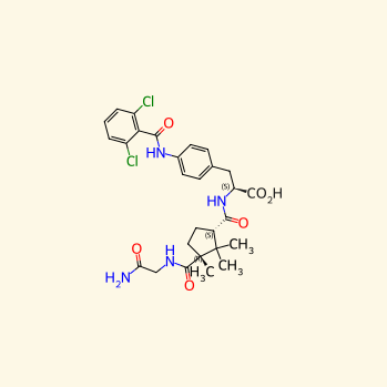 CC1(C)[C@@H](C(=O)N[C@@H](Cc2ccc(NC(=O)c3c(Cl)cccc3Cl)cc2)C(=O)O)CC[C@@]1(C)C(=O)NCC(N)=O